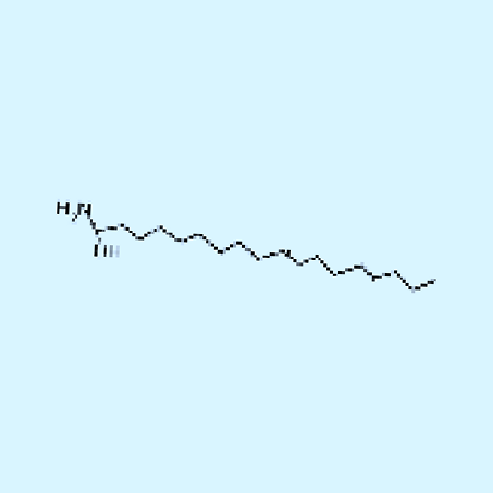 CCCCCCCC[CH]CCCCCCCCC(N)O